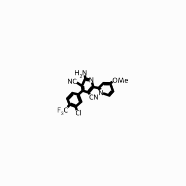 COc1ccnc(-c2nc(N)c(C#N)c(-c3ccc(C(F)(F)F)c(Cl)c3)c2C#N)c1